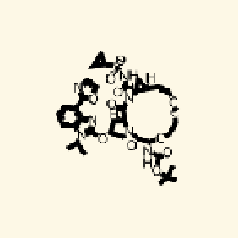 CC(C)n1c(O[C@@H]2C[C@H]3C(=O)N[C@]4(C(=O)NS(=O)(=O)C5CC5)C[C@H]4/C=C\CCCCC[C@H](NC(=O)OC(C)(C)C)C(=O)N3C2)nc2c(-c3ncco3)cccc21